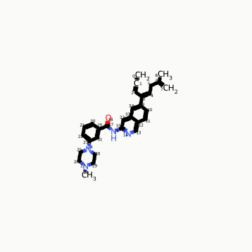 C=C=C/C(=C\CC(=C)C)c1ccc2cnc(NC(=O)c3cccc(N4CCN(C)CC4)c3)cc2c1